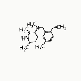 C=Cc1ccc(C)cc1CN(C)C1CCC(=C)NC1=C